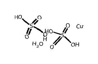 O.O=S(=O)(O)O.O=S(=O)(O)O.[Cu]